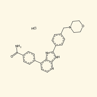 Cl.NC(=O)c1ccc(-c2ccnc3[nH]c(-c4ccc(CN5CCOCC5)cc4)nc23)cc1